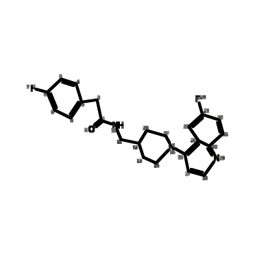 O=C(Cc1ccc(F)cc1)NCC1CCN(c2ccnc3ccc(F)cc23)CC1